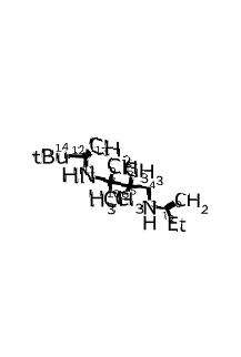 C=C(CC)NCC(C)(C)C(C)(C)NC(=C)C(C)(C)C